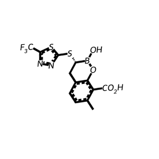 Cc1ccc2c(c1C(=O)O)OB(O)[C@@H](Sc1nnc(C(F)(F)F)s1)C2